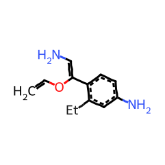 C=CO/C(=C\N)c1ccc(N)cc1CC